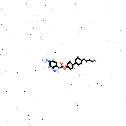 CCCCCC1CCC(c2ccc(OC(=O)Cc3ccc(N)cc3N)cc2)CC1